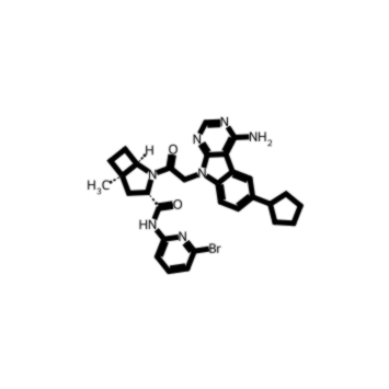 C[C@]12CC[C@H]1N(C(=O)Cn1c3ccc(C4CCCC4)cc3c3c(N)ncnc31)[C@H](C(=O)Nc1cccc(Br)n1)C2